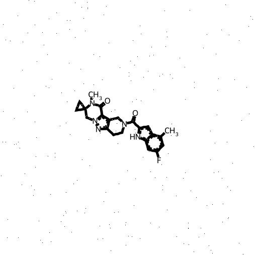 Cc1cc(F)cc2[nH]c(C(=O)N3CCc4nn5c(c4C3)C(=O)N(C)C3(CC3)C5)cc12